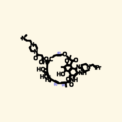 C/C1=C/C=C/C(C)[C@H](O)[C@@H](C)C(O)C[C@H](OC(=O)CC(=O)N2CCN(CCN(C)C)CC2)CC/C=C/O[C@@]2(C)Oc3c(C)c(O)c4c(c3C2=O)C2=NC3(CCN(CC(C)C)CC3)NC2=C(NC1=O)C4=O